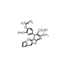 C=C(C)Oc1ccc(C2C(C(=O)OCC)=C(C)N=c3s/c(=C/c4ccco4)c(=O)n32)cc1OC